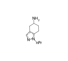 CCCn1ncc2c1CCC(N)C2